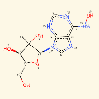 C[C@@]1(O)[C@H](O)[C@@H](CO)O[C@@H]1n1cnc2c(NO)ncnc21